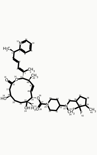 C/C(=C\C=C\[C@@H](C)c1ccccn1)[C@H]1OC(=O)C[C@H](O)CC[C@@](C)(O)[C@@H](OC(=O)N2CCC(N(C)CC3CCC(C)C3(F)F)CC2)/C=C/[C@@H]1C